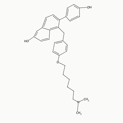 CN(C)CCCCCCOc1ccc(Cc2c(-c3ccc(O)cc3)ccc3cc(O)ccc23)cc1